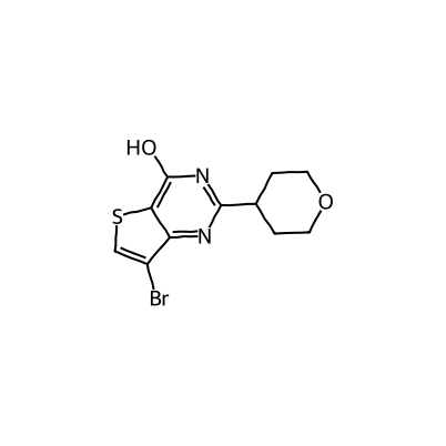 Oc1nc(C2CCOCC2)nc2c(Br)csc12